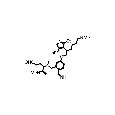 C=C(NC)C(CCC=O)N(C)Cc1cc(OCC(CCCCNC)C2=C(CCC)CN=C2CC)ccc1C=N